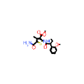 CCC(C(=O)Nc1sc(C(N)=O)c(C)c1C(=O)OC)c1ccccc1OC